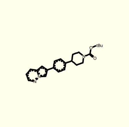 CC(C)(C)OC(=O)N1CCC(c2ccc(-c3cc4cccnn4c3)cc2)CC1